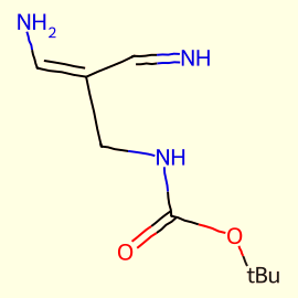 CC(C)(C)OC(=O)NC/C(C=N)=C/N